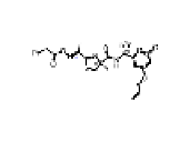 C=CCOc1cc([C@@H](CCC)NC(=O)[C@]2(C)CSC(/C(C)=N/OC(=O)CC(C)C)=N2)oc(=O)c1